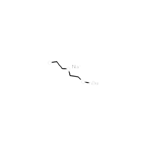 CCCCOCCOCC[O-].[Na+]